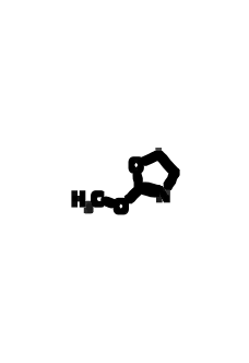 COC1=NC[CH]O1